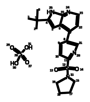 CC(C)(C)c1cc2c(-c3ccc(S(=O)(=O)N4CCCC4)nc3)ccnc2[nH]1.O=S(=O)(O)O